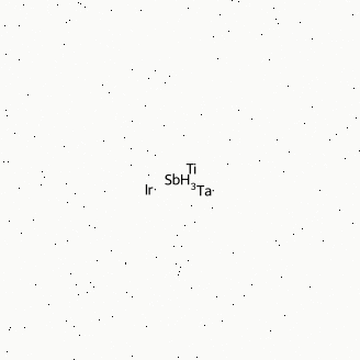 [Ir].[SbH3].[Ta].[Ti]